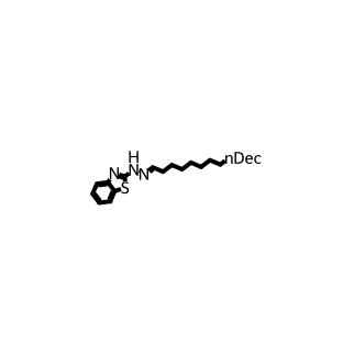 CCCCCCCCCCCCCCCCCC=NNc1nc2ccccc2s1